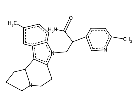 Cc1ccc2c(c1)c1c(n2CC(C(N)=O)c2ccc(C)nc2)CCN2CCCC12